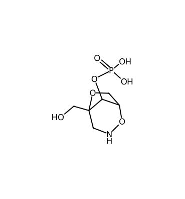 O=P(O)(O)OC1C2COC1(CO)CNO2